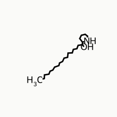 CCCCCCCCCCCCCCCCCC(O)C1CCCCN1